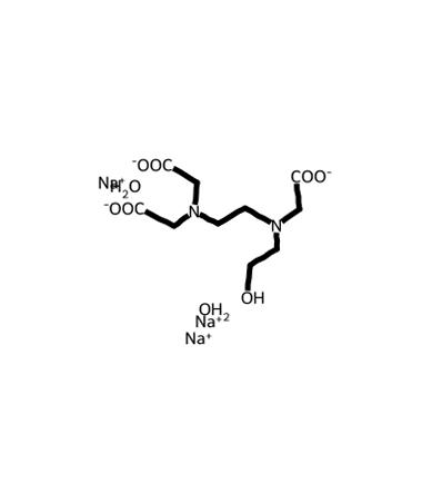 O.O.O=C([O-])CN(CCO)CCN(CC(=O)[O-])CC(=O)[O-].[Na+].[Na+].[Na+]